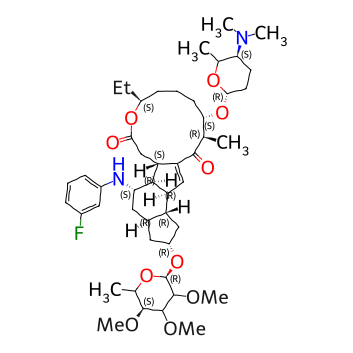 CC[C@H]1CCC[C@H](O[C@H]2CC[C@H](N(C)C)C(C)O2)[C@@H](C)C(=O)C2=C[C@H]3[C@@H]4C[C@H](O[C@@H]5OC(C)[C@H](OC)C(OC)C5OC)C[C@H]4C[C@H](Nc4cccc(F)c4)[C@H]3[C@@H]2CC(=O)O1